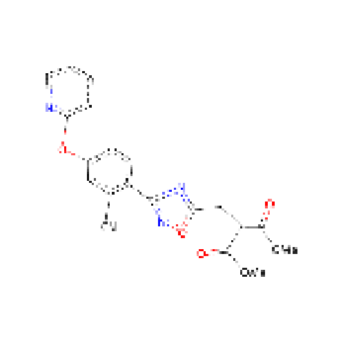 COC(=O)C(Cc1nc(-c2ccc(Oc3ccccn3)cc2C#N)no1)C(=O)OC